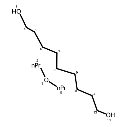 CCCOCCC.OCCCCCCCCCO